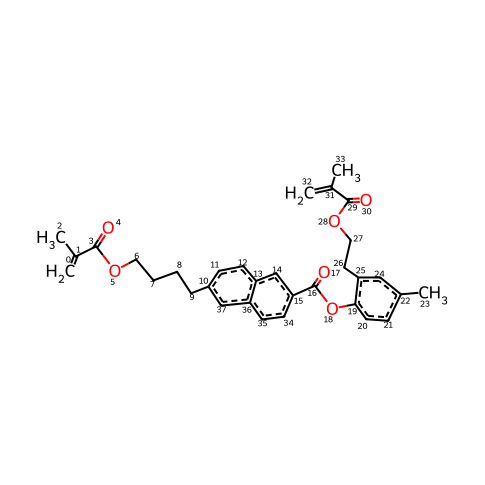 C=C(C)C(=O)OCCCCc1ccc2cc(C(=O)Oc3ccc(C)cc3CCOC(=O)C(=C)C)ccc2c1